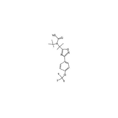 CC(C)(C)N(C(=O)O)C(C)(C)c1nc(-c2ccc(OC(F)(F)F)cc2)no1